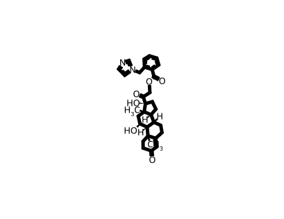 C[C@]12CCC(=O)C=C1CC[C@@H]1[C@@H]2[C@@H](O)C[C@@]2(C)[C@H]1CC[C@]2(O)C(=O)COC(=O)c1ccccc1Cn1ccnc1